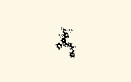 CCN(Cc1cncc(-c2ccc3c(c2)c(-c2ncc(C(=O)NCc4ccccn4)[nH]2)nn3C2CCCCO2)c1C)C(=O)O